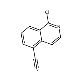 N#Cc1cccc2c(Cl)nccc12